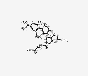 Cc1cc(C(C)C)ccc1-c1c(C)cc(OC(CC(C)C)c2ccc(C(=O)NCCC(=O)O)cc2)cc1C